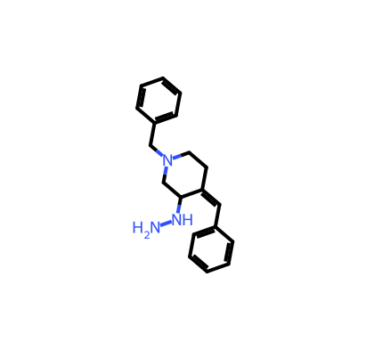 NNC1CN(Cc2ccccc2)CC/C1=C/c1ccccc1